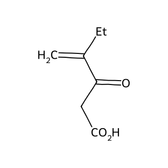 C=C(CC)C(=O)CC(=O)O